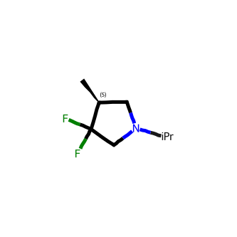 CC(C)N1C[C@H](C)C(F)(F)C1